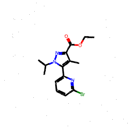 CCOC(=O)c1nn(C(C)C)c(-c2cccc(Br)n2)c1C